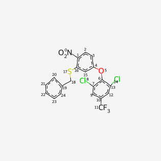 O=[N+]([O-])c1ccc(Oc2c(Cl)cc(C(F)(F)F)cc2Cl)cc1SCc1ccccc1